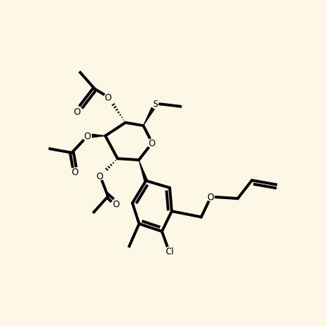 C=CCOCc1cc([C@@H]2O[C@H](SC)[C@@H](OC(C)=O)[C@H](OC(C)=O)[C@H]2OC(C)=O)cc(C)c1Cl